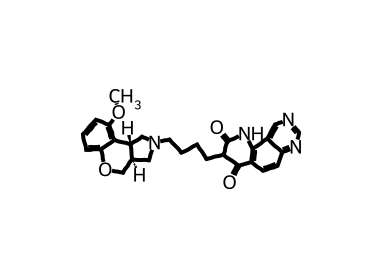 COc1cccc2c1[C@@H]1CN(CCCCC3C(=O)Nc4c(ccc5ncncc45)C3=O)C[C@H]1CO2